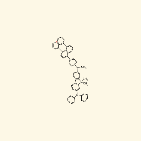 CC(c1ccc(-c2ccc(C3=CC=CCC3)c3c(-c4ccccc4)cccc23)cc1)c1ccc2c(c1)C(C)(C)c1cc(N(c3ccccc3)c3ccccc3)ccc1-2